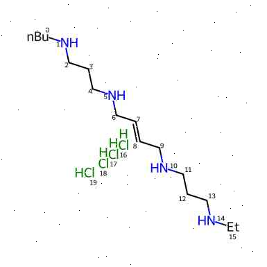 CCCCNCCCNCC=CCNCCCNCC.Cl.Cl.Cl.Cl